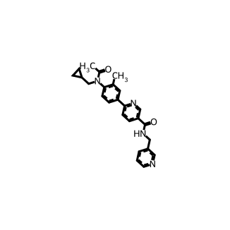 CC(=O)N(CC1CC1)c1ccc(-c2ccc(C(=O)NCc3cccnc3)cn2)cc1C